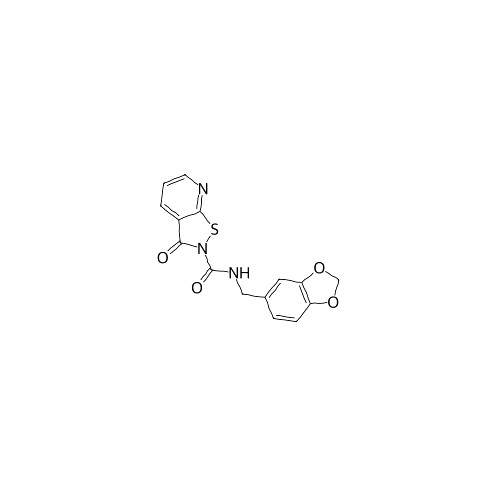 O=C(NCc1ccc2c(c1)OCO2)n1sc2ncccc2c1=O